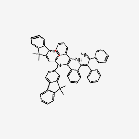 CC1(C)c2ccccc2-c2ccc(N(C3=C(c4ccccc4)N/C(=C(\C(=N)c4ccccc4)c4ccccc4)c4ccccc43)c3ccc4c(c3)C(C)(C)c3ccccc3-4)cc21